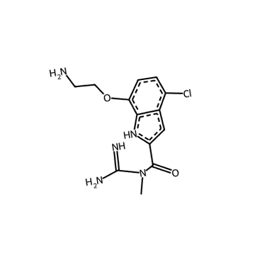 CN(C(=N)N)C(=O)c1cc2c(Cl)ccc(OCCN)c2[nH]1